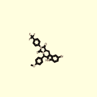 COc1ccc(C2c3[nH]c4ccc(Br)cc4c3CC3C(=O)N(c4ccc(C(F)(F)F)cc4)C(=S)N32)cc1